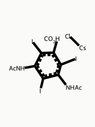 CC(=O)Nc1c(I)c(NC(C)=O)c(I)c(C(=O)O)c1I.[Cl][Cs]